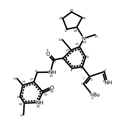 CCCC/C=C(\C=N)c1cc(C(=O)NCc2c(C)cc(C)[nH]c2=O)c(C)c(N(C)C2CCCC2)c1